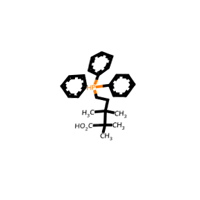 CC(C)(CC[PH](c1ccccc1)(c1ccccc1)c1ccccc1)C(C)(C)C(=O)O